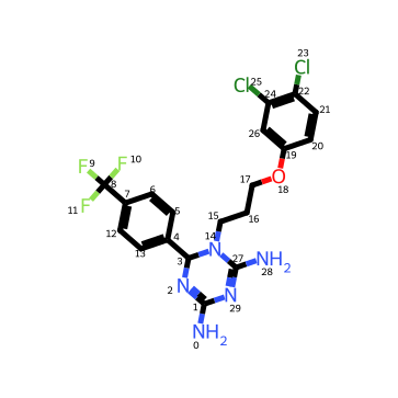 NC1=NC(c2ccc(C(F)(F)F)cc2)N(CCCOc2ccc(Cl)c(Cl)c2)C(N)=N1